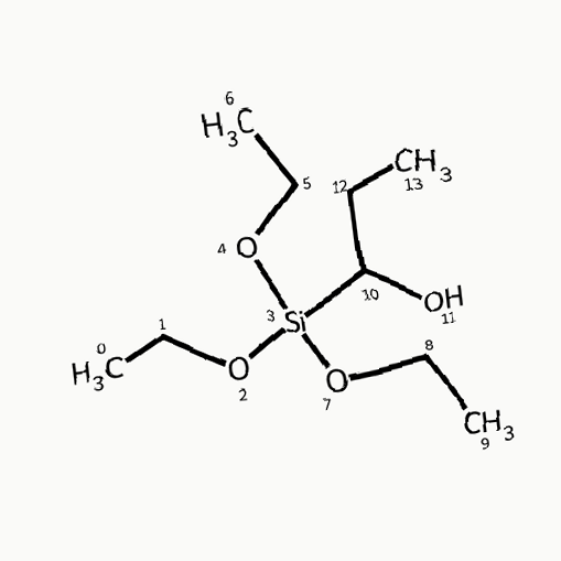 CCO[Si](OCC)(OCC)C(O)CC